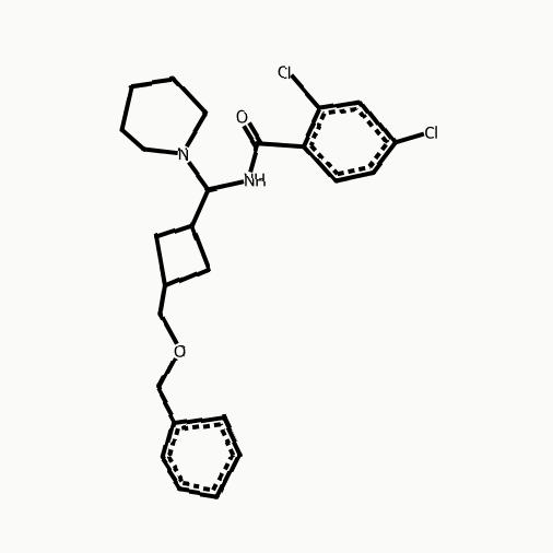 O=C(NC(C1CC(COCc2ccccc2)C1)N1CCCCC1)c1ccc(Cl)cc1Cl